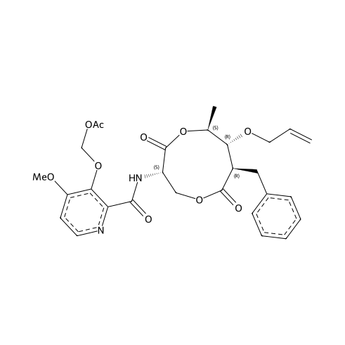 C=CCO[C@H]1[C@H](C)OC(=O)[C@@H](NC(=O)c2nccc(OC)c2OCOC(C)=O)COC(=O)[C@@H]1Cc1ccccc1